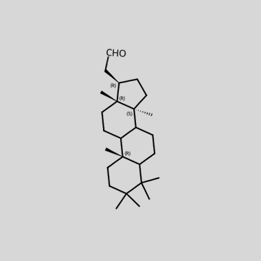 CC1(C)CC[C@]2(C)C3CC[C@]4(C)[C@@H](CC=O)CC[C@@]4(C)C3CCC2C1(C)C